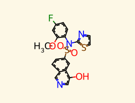 COc1cc(F)ccc1N(c1nccs1)S(=O)(=O)c1ccc2cncc(O)c2c1